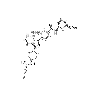 CC#CC(O)NC1CC=C(c2nc(-c3ccc(C(=O)Nc4cc(OC)ccn4)cc3)c3c(N)nccn23)CC1